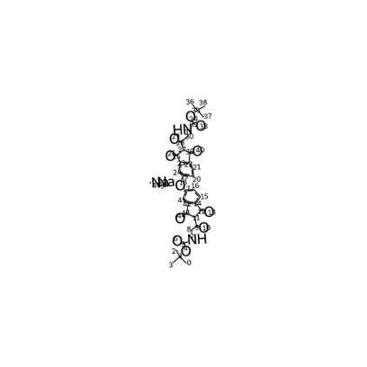 CC(C)(C)OC(=O)NCC(=O)C1C(=O)c2ccc(Oc3ccc4c(c3)C(=O)C(C(=O)CNC(=O)OC(C)(C)C)C4=O)cc2C1=O.[Na].[Na]